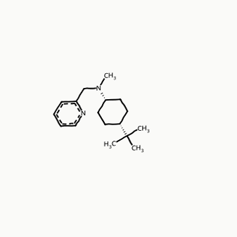 CN(Cc1ccccn1)[C@H]1CC[C@@H](C(C)(C)C)CC1